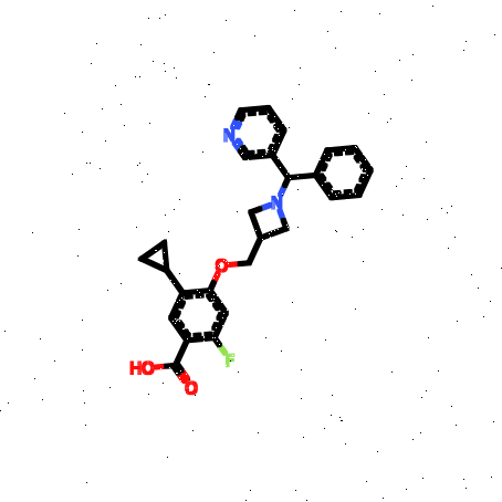 O=C(O)c1cc(C2CC2)c(OCC2CN(C(c3ccccc3)c3cccnc3)C2)cc1F